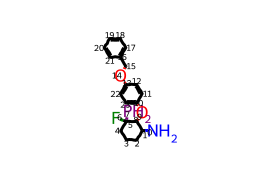 NC1CCCC(F)(P)C1Oc1ccc(OCc2ccccc2)cc1